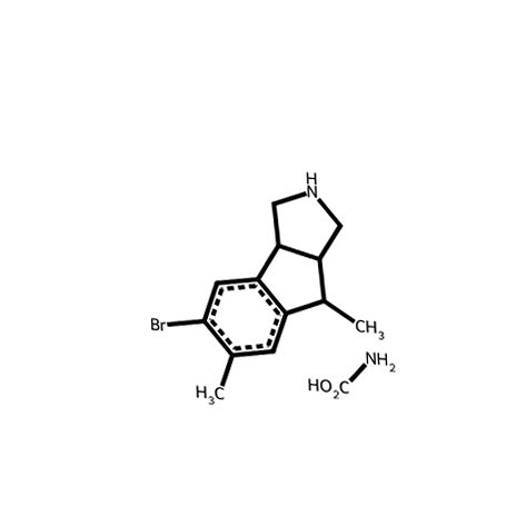 Cc1cc2c(cc1Br)C1CNCC1C2C.NC(=O)O